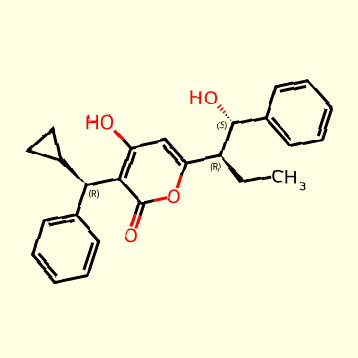 CC[C@@H](c1cc(O)c([C@@H](c2ccccc2)C2CC2)c(=O)o1)[C@H](O)c1ccccc1